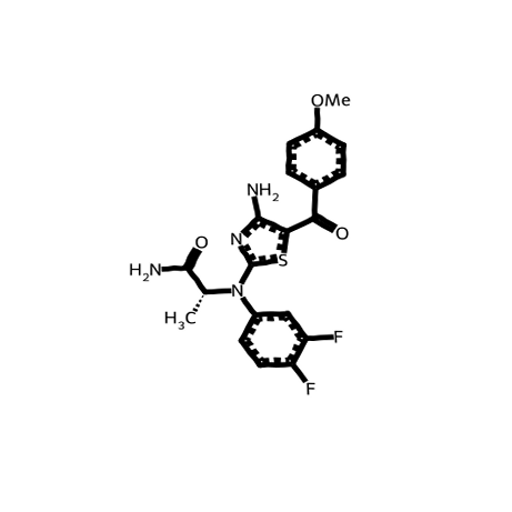 COc1ccc(C(=O)c2sc(N(c3ccc(F)c(F)c3)[C@H](C)C(N)=O)nc2N)cc1